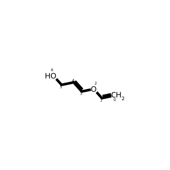 C=COC=CCO